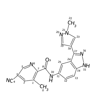 Cc1cc(C#N)cnc1C(=O)Nc1ccc2[nH]nc(-c3cnn(C)c3)c2c1